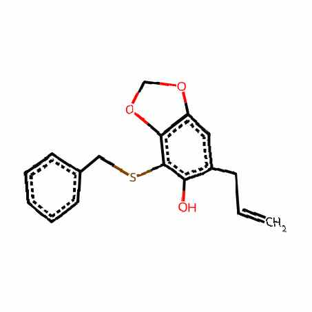 C=CCc1cc2c(c(SCc3ccccc3)c1O)OCO2